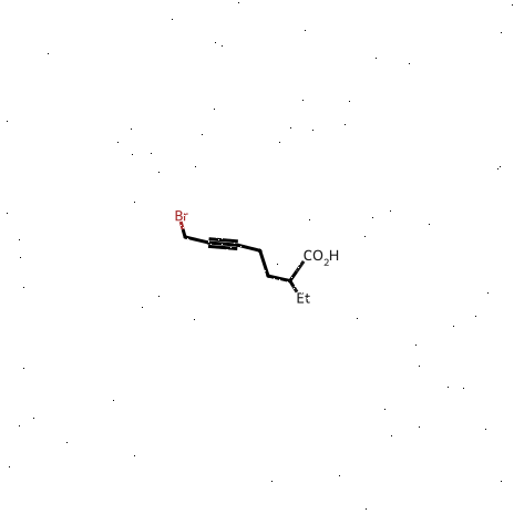 CCC(CCC#CCBr)C(=O)O